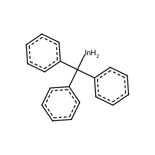 [InH2][C](c1ccccc1)(c1ccccc1)c1ccccc1